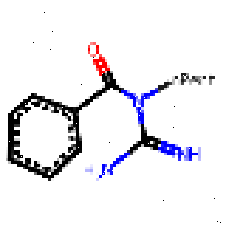 CCCCCN(C(=N)N)C(=O)c1ccccc1